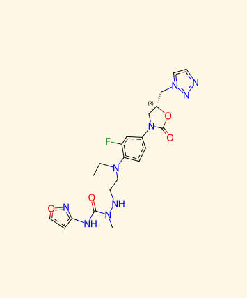 CCN(CCNN(C)C(=O)Nc1ccon1)c1ccc(N2C[C@H](Cn3ccnn3)OC2=O)cc1F